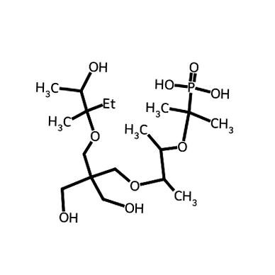 CCC(C)(OCC(CO)(CO)COC(C)C(C)OC(C)(C)P(=O)(O)O)C(C)O